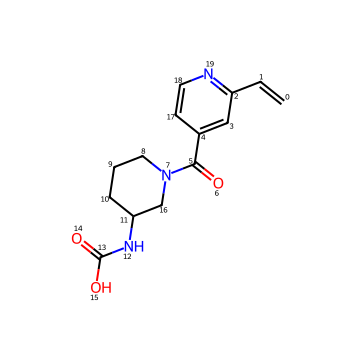 C=Cc1cc(C(=O)N2CCCC(NC(=O)O)C2)ccn1